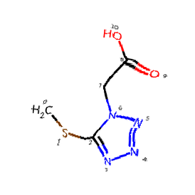 [CH2]Sc1nnnn1CC(=O)O